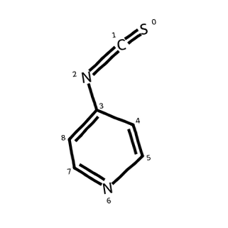 S=C=Nc1ccncc1